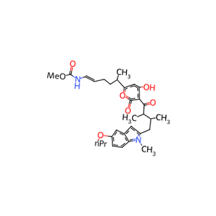 CCCOc1ccc2c(c1)cc(CC(C)C(C)C(=O)c1c(O)cc(C(C)CC/C=C/NC(=O)OC)oc1=O)n2C